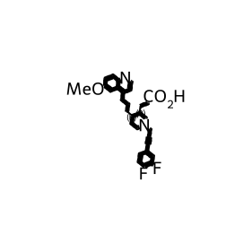 COc1ccc2nccc(CCC[C@@H]3CCN(CC#Cc4ccc(F)c(F)c4)C[C@@H]3CCC(=O)O)c2c1